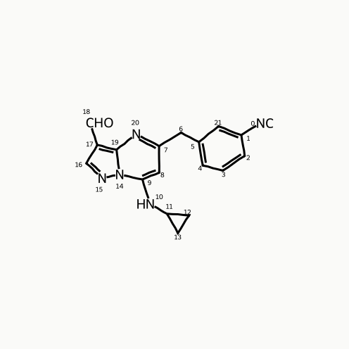 [C-]#[N+]c1cccc(Cc2cc(NC3CC3)n3ncc(C=O)c3n2)c1